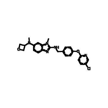 CN(c1ccc2nc(NCc3ccc(Oc4ccc(Cl)cn4)cc3)n(C)c2c1)C1COC1